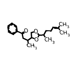 CC(C)=CCCC(C)C1OCC(C(C)CC(=O)c2ccccc2)O1